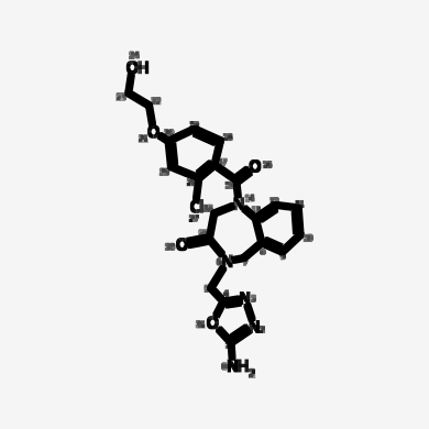 Nc1nnc(CN2Cc3ccccc3N(C(=O)c3ccc(OCCO)cc3Cl)CC2=O)o1